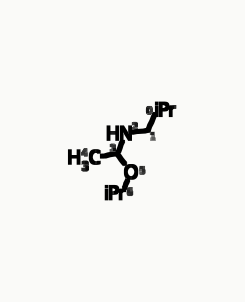 CC(C)CNC(C)OC(C)C